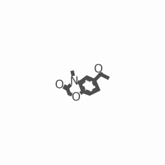 CC(=O)c1ccc2c(c1)N(C)C(=O)CO2